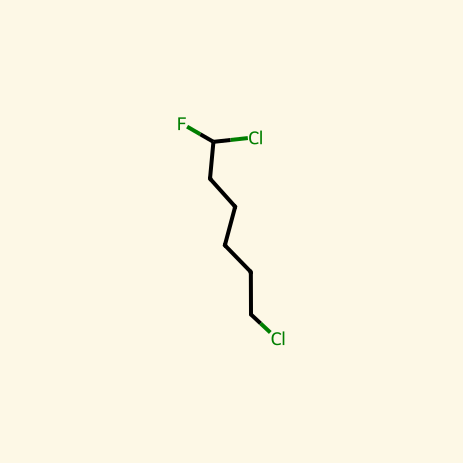 FC(Cl)CCCCCCl